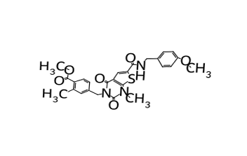 COC(=O)c1ccc(Cn2c(=O)c3cc(C(=O)NCc4ccc(OC)cc4)sc3n(C)c2=O)cc1C